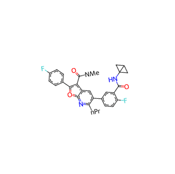 CCCc1nc2oc(-c3ccc(F)cc3)c(C(=O)NC)c2cc1-c1ccc(F)c(C(=O)NC23CC2C3)c1